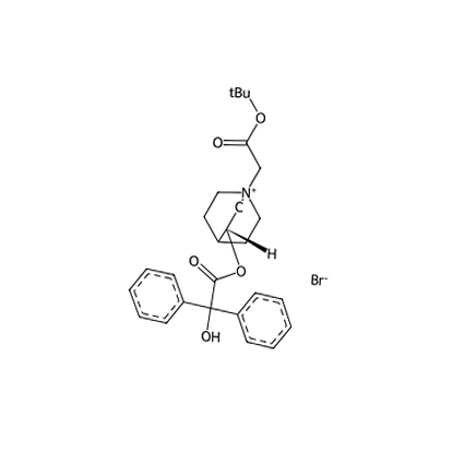 CC(C)(C)OC(=O)C[N+]12CCC(CC1)[C@@H](OC(=O)C(O)(c1ccccc1)c1ccccc1)C2.[Br-]